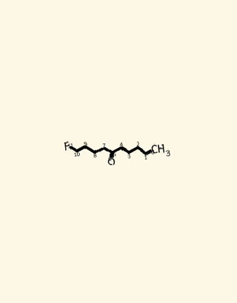 CCCCCC(=O)CCCCF